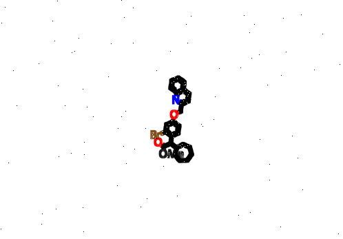 COC(=O)C(c1ccc(OCc2ccc3ccccc3n2)cc1Br)C1CCCCCC1